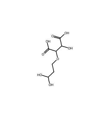 O=C(O)C(O)C(OCCC(O)O)C(=O)O